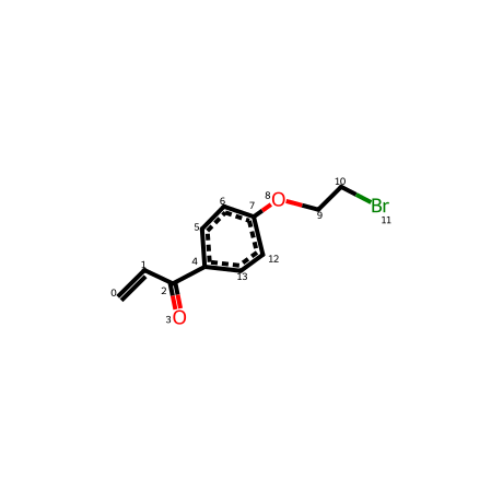 C=CC(=O)c1ccc(OCCBr)cc1